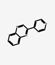 [c]1nc2ccccc2nc1-c1ccncc1